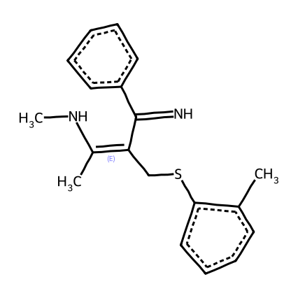 CN/C(C)=C(/CSc1ccccc1C)C(=N)c1ccccc1